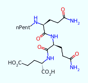 CCCCCN[C@@H](CCC(N)=O)C(=O)N[C@@H](CCC(N)=O)C(=O)N[C@@H](CCC(=O)O)C(=O)O